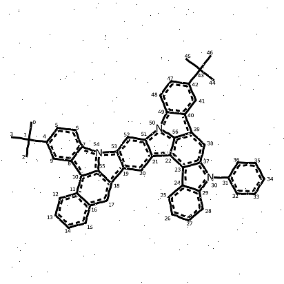 CC(C)(C)c1ccc2c(c1)c1c3ccccc3cc3c4cc5c6c7c8ccccc8n(-c8ccccc8)c7cc7c8cc(C(C)(C)C)ccc8n(c5cc4n2c31)c76